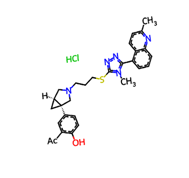 CC(=O)c1cc([C@]23C[C@H]2CN(CCCSc2nnc(-c4cccc5nc(C)ccc45)n2C)C3)ccc1O.Cl